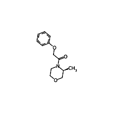 C[C@H]1COCCN1C(=O)COc1ccccc1